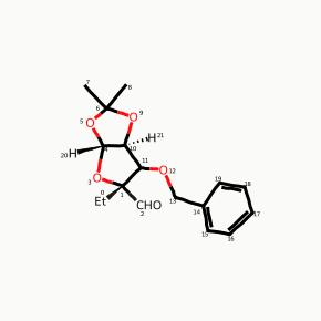 CC[C@@]1(C=O)O[C@@H]2OC(C)(C)O[C@H]2C1OCc1ccccc1